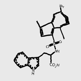 CC1=C=C=C(C(C)C)C=C2C(C)=CC(S(=O)(=O)NC(Cc3c[nH]c4ccccc34)C(=O)O)=C12